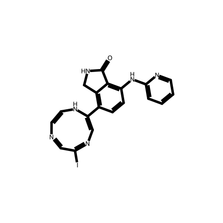 O=C1NCc2c(-c3cnc(I)cncc[nH]3)ccc(Nc3ccccn3)c21